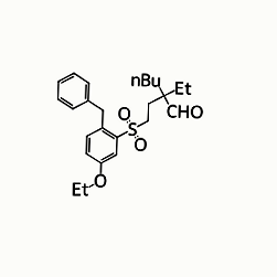 CCCCC(C=O)(CC)CCS(=O)(=O)c1cc(OCC)ccc1Cc1ccccc1